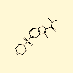 Cc1c(C(=O)N(C)C)oc2ccc(S(=O)(=O)N3CCOCC3)cc12